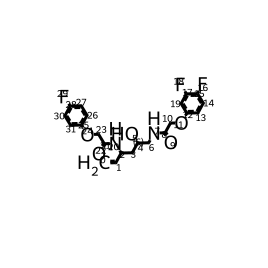 C=CC(C[C@H](O)CNC(=O)COc1ccc(F)c(F)c1)NC(=O)COc1ccc(F)cc1